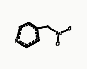 [Cl][Au]([Cl])[CH2]c1ccncc1